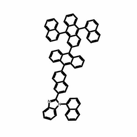 c1ccc2c(-c3c4ccccc4c(-c4cccc5ccccc45)c4cc(-c5c6ccccc6c(-c6ccc7cc(-c8nc9ccccc9n8-c8cccc9ccccc89)ccc7c6)c6ccccc56)ccc34)cccc2c1